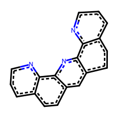 c1cnc2c(c1)ccc1cc3ccc4cccnc4c3nc12